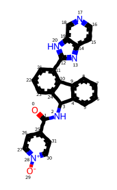 O=C(NC1c2ccccc2-c2c(-c3nc4ccncc4[nH]3)cccc21)c1cc[n+]([O-])cc1